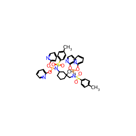 Cc1ccc(S(=O)(=O)N(CC2(C)CCCC(N(P(Oc3ccccn3)Oc3ccccn3)S(=O)(=O)c3ccc(C)cc3)C2)P(Oc2ccccn2)Oc2ccccn2)cc1